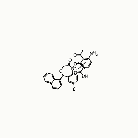 CC(=O)c1c(N)ccc(C(=O)O)c1O[N@+]1(CC(C)(C)C)C(=O)CO[C@H](c2cccc3ccccc23)c2cc(Cl)ccc21